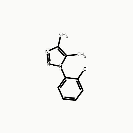 Cc1nnn(-c2ccccc2Cl)c1C